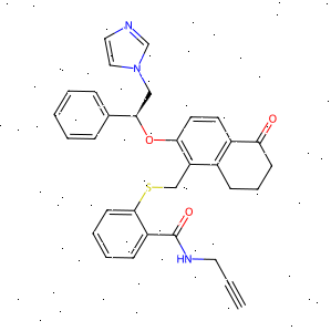 C#CCNC(=O)c1ccccc1SCc1c(O[C@H](Cn2ccnc2)c2ccccc2)ccc2c1CCCC2=O